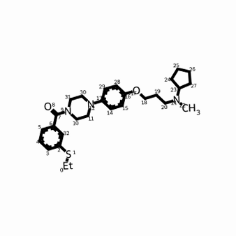 CCSc1cccc(C(=O)N2CCN(c3ccc(OCCCN(C)C4CCCC4)cc3)CC2)c1